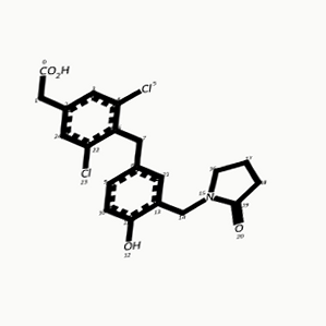 O=C(O)Cc1cc(Cl)c(Cc2ccc(O)c(CN3CCCC3=O)c2)c(Cl)c1